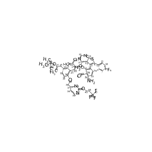 Cc1c(-c2c(-c3ccc(F)cc3)sc3ncnc(OC(Cc4cc(CC(=O)OC(C)(C)C)ccc4OCc4ccnc(OCCC(F)(F)F)n4)C(=O)O)c23)ccc(N)c1Cl